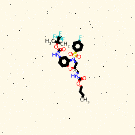 CCCCOC(=O)NC[C@H]1CN(S(=O)(=O)c2ccc(F)cc2)c2cc(NC(=O)OC(C)(C)C(F)(F)F)ccc2O1